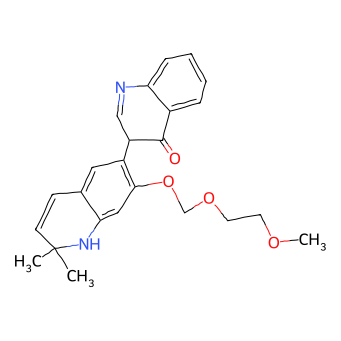 COCCOCOc1cc2c(cc1C1C=Nc3ccccc3C1=O)C=CC(C)(C)N2